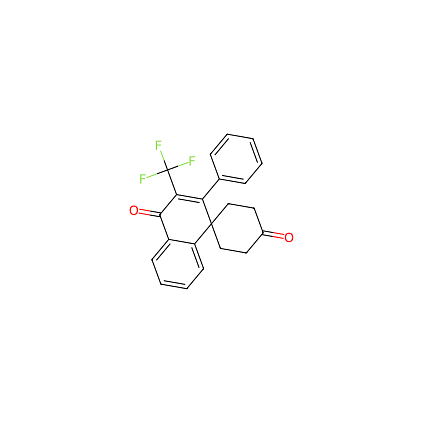 O=C1CCC2(CC1)C(c1ccccc1)=C(C(F)(F)F)C(=O)c1ccccc12